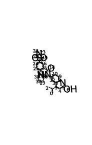 CC(C)c1cc(O)nc2ccc(NC(=O)c3cc(S(=O)(=O)N(C)C)ccc3N3CCCC3)cc12